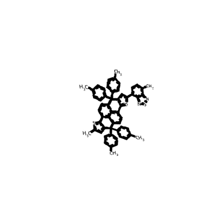 Cc1ccc(C2(c3ccc(C)cc3)c3cc(C)sc3-c3ccc4c5c(ccc2c35)-c2sc(-c3ccc(C)c5nsnc35)cc2C4(c2ccc(C)cc2)c2ccc(C)cc2)cc1